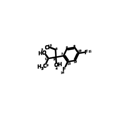 CC(O)C(O)(CCl)c1ccc(F)cc1F